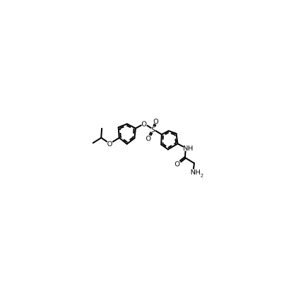 CC(C)Oc1ccc(OS(=O)(=O)c2ccc(NC(=O)CN)cc2)cc1